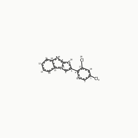 Clc1cnc(-c2cn3c(nc4ccccc43)s2)c(Cl)c1